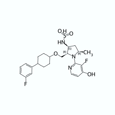 C[C@@H]1C[C@H](N[SH](=O)=O)[C@H](COC2CCC(c3cccc(F)c3)CC2)N1c1nccc(O)c1F